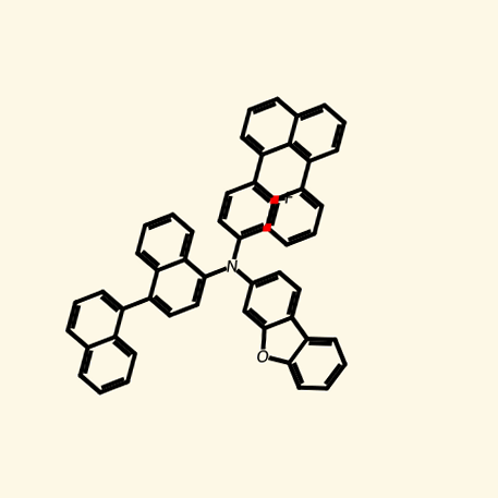 Fc1cc(N(c2ccc3c(c2)oc2ccccc23)c2ccc(-c3cccc4ccccc34)c3ccccc23)ccc1-c1cccc2cccc(-c3ccccc3)c12